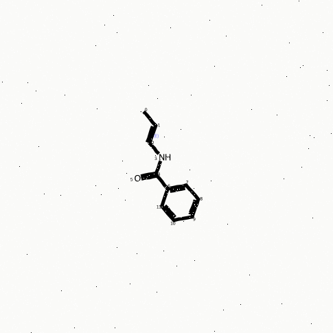 [CH2]/C=C/NC(=O)c1ccccc1